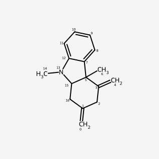 C=C1CC(=C)C2(C)c3ccccc3N(C)C2C1